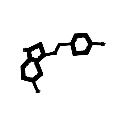 Brc1ccc(COc2c[nH]c3ccc(Br)cc23)cc1